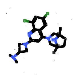 CN(C)C1CN(c2cc(N3C[C@H]4CC[C@@H](C3)N4)c3cc(Cl)cc(Cl)c3n2)C1